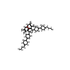 CCCCC1CCC(C2CCC(C(OC(c3cccc(F)c3F)C3CCC(C4CCC(CCCC)CC4)CC3)c3cccc(F)c3F)CC2)CC1